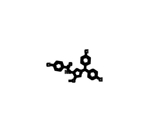 COC1CN(C(c2ccc(Cl)cc2)c2ccc(Cl)cc2)CC1NC(=O)c1ccc(Cl)cc1